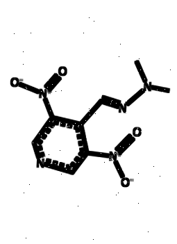 CN(C)/N=C/c1c([N+](=O)[O-])cncc1[N+](=O)[O-]